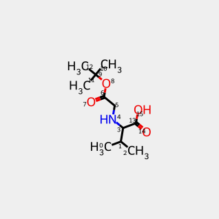 CC(C)C(NCC(=O)OC(C)(C)C)C(=O)O